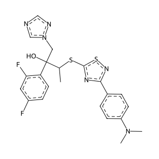 CC(Sc1nc(-c2ccc(N(C)C)cc2)ns1)C(O)(Cn1cncn1)c1ccc(F)cc1F